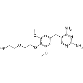 COc1cc(Cc2cnc(N)nc2N)cc(OC)c1OCCOCC[18F]